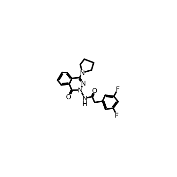 O=C(Cc1cc(F)cc(F)c1)Nn1nc(N2CCCC2)c2ccccc2c1=O